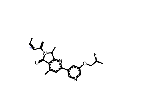 C=C(/C=C\C)N1C(=O)c2c(C)cc(-c3cncc(OCC(C)F)c3)nc2C1C